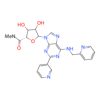 CNC(=O)[C@H]1OC(n2cnc3c(NCc4ccccn4)nc(-c4cccnc4)nc32)C(O)C1O